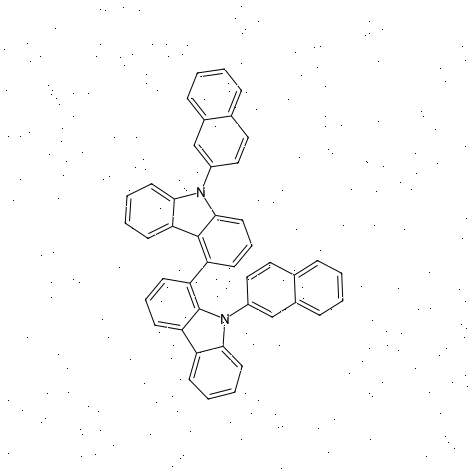 c1ccc2cc(-n3c4ccccc4c4c(-c5cccc6c7ccccc7n(-c7ccc8ccccc8c7)c56)cccc43)ccc2c1